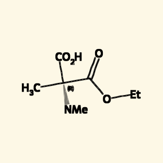 CCOC(=O)[C@](C)(NC)C(=O)O